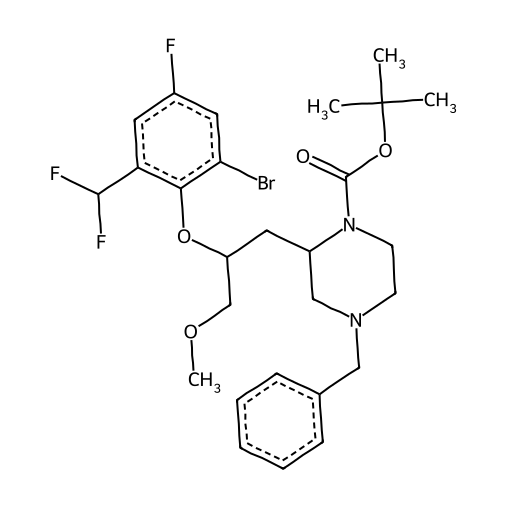 COCC(CC1CN(Cc2ccccc2)CCN1C(=O)OC(C)(C)C)Oc1c(Br)cc(F)cc1C(F)F